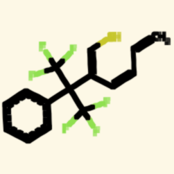 C=C/C=C\C(=C/S)C(c1ccccc1)(C(F)(F)F)C(F)(F)F